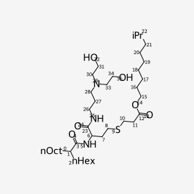 CCCCCCCCC(CCCCCC)C(=O)NC(CCSCCC(=O)OCCCCCCCC(C)C)C(=O)NCCCN(CCO)CCO